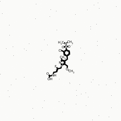 COCc1c(Cc2ccc(S(=O)(=O)N(C)C)c(Cl)c2)c(C)nn1CC(F)=CCNC(=O)O